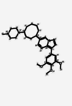 COc1cc(-c2cnn3cc(C4CCCCC(N5CCN(C)CC5)CC4)cnc23)cc(OC)c1OC